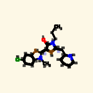 CCCn1c(=O)/c(=C2\Sc3cc(Cl)ccc3N2C)s/c1=C\c1ccccn1